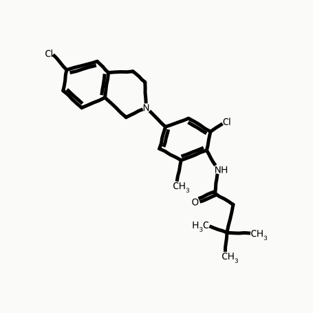 Cc1cc(N2CCc3cc(Cl)ccc3C2)cc(Cl)c1NC(=O)CC(C)(C)C